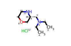 CCN(CC)C[C@@H]1COCCN1.Cl